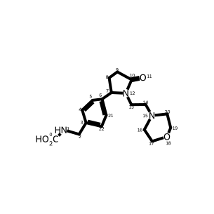 O=C(O)NCc1ccc(C2CCC(=O)N2CCN2CCOCC2)cc1